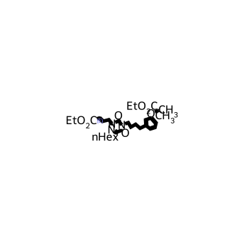 CCCCCCc1nn(C/C=C/C(=O)OCC)c(=O)n(CCCCc2cccc(OC(C)(C)C(=O)OCC)c2)c1=O